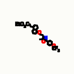 CCOC(=O)CCC1=CCCc2c(OCCc3nc(-c4ccc(OC(F)(F)F)cc4)oc3C)cccc21